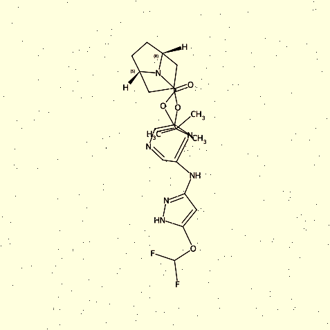 CC(C)(C)OC(=O)N1[C@@H]2CC[C@H]1CC(Oc1cncc(Nc3cc(OC(F)F)[nH]n3)n1)C2